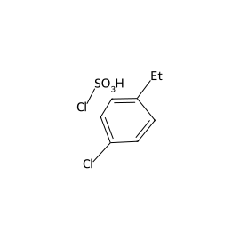 CCc1ccc(Cl)cc1.O=S(=O)(O)Cl